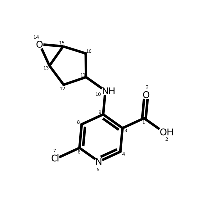 O=C(O)c1cnc(Cl)cc1NC1CC2OC2C1